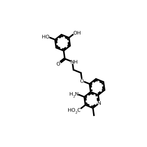 Cc1nc2cccc(OCCNC(=O)c3cc(O)cc(O)c3)c2c(N)c1C(=O)O